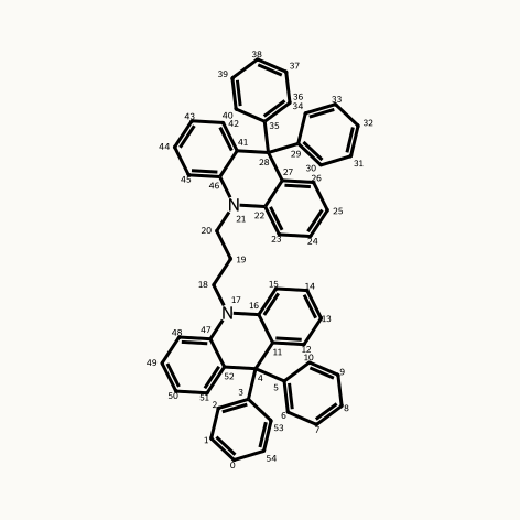 c1ccc(C2(c3ccccc3)c3ccccc3N(CCCN3c4ccccc4C(c4ccccc4)(c4ccccc4)c4ccccc43)c3ccccc32)cc1